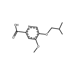 COc1cc(C(=O)O)ncc1OCC(C)C